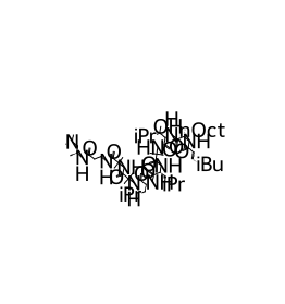 CCCCCCCC[C@H](NC(=O)/C=C/[C@@H](C)CC)C(=O)N[C@H](C(=O)NC(C)(C)C(=O)N[C@@H](CC(C)C)C(=O)N[C@@H](CC(C)C)C(=O)NC(C)(C)C(=O)NC(C)(C)C(=O)NCCC(=O)N[C@@H](C)CN(C)C)[C@H](O)C(C)C